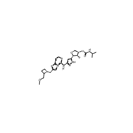 COCC1CCN1Cc1cn2c(Nc3cc([C@H]4OC[C@@H](OC(=O)NC(C)C)[C@H]4F)[nH]n3)nccc2n1